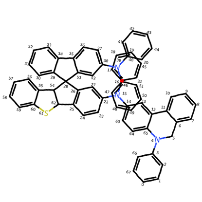 c1ccc(N2Cc3ccccc3-c3cc(N(c4ccccc4)c4ccc5c(c4)C4(c6ccccc6-c6ccc(N(c7ccccc7)c7ccccc7)cc64)C4c6ccccc6SC54)ccc32)cc1